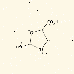 CCCCC1OCC(C(=O)O)O1